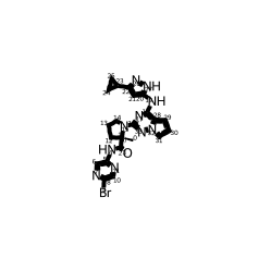 C[C@@]1(C(=O)Nc2cnc(Br)cn2)CCCN1c1nc(Nc2cc(C3CC3)n[nH]2)c2cccn2n1